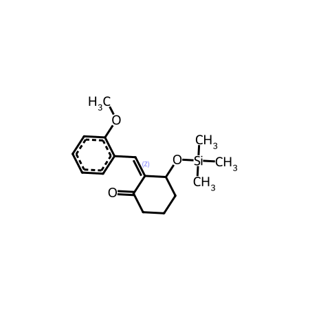 COc1ccccc1/C=C1\C(=O)CCCC1O[Si](C)(C)C